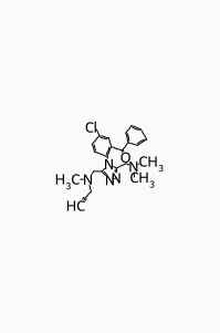 C#CCN(C)Cc1nnc(CN(C)C)n1-c1ccc(Cl)cc1C(=O)c1ccccc1